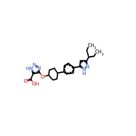 CCC(CC)c1cc(-c2ccc(C3CCC(Oc4nn[nH]c4C(=O)O)CC3)cc2)[nH]n1